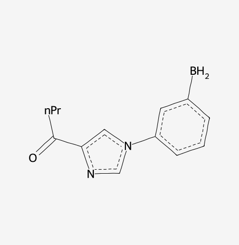 Bc1cccc(-n2cnc(C(=O)CCC)c2)c1